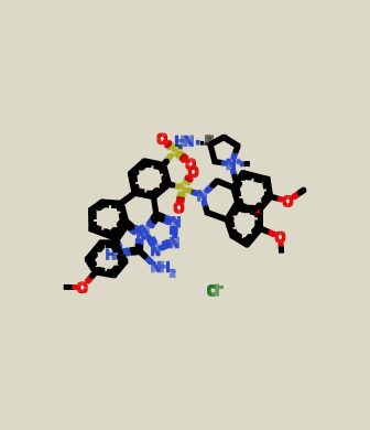 COc1ccc(CN(Cc2ccc(OC)cc2)S(=O)(=O)c2c(S(=O)(=O)N[C@@H]3CC[N+](C)(C)C3)ccc(-c3cccc4[nH]c(N)nc34)c2-c2nnnn2Cc2ccc(OC)cc2)cc1.[Cl-]